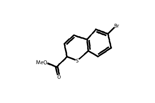 COC(=O)C1C=Cc2cc(Br)ccc2S1